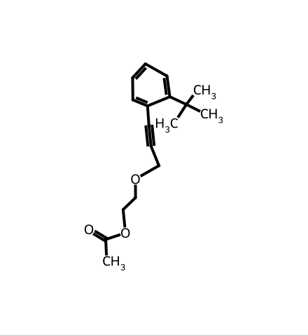 CC(=O)OCCOCC#Cc1ccccc1C(C)(C)C